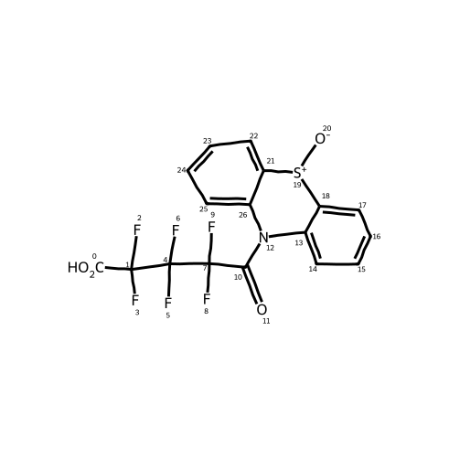 O=C(O)C(F)(F)C(F)(F)C(F)(F)C(=O)N1c2ccccc2[S+]([O-])c2ccccc21